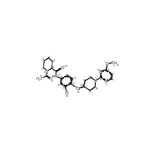 COc1ccnc(N2CCC(Oc3ccc(NC(=O)C4CCCCN4C(C)=O)cc3Cl)CC2)n1